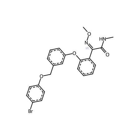 CNC(=O)/C(=N\OC)c1ccccc1Oc1cccc(COc2ccc(Br)cc2)c1